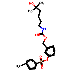 Cc1ccc(S(=O)(=O)Oc2cccc(COC(=O)NCCCCC(C)(C)O)c2)cc1